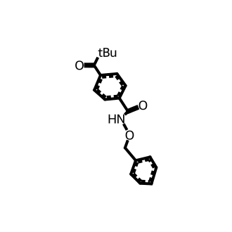 CC(C)(C)C(=O)c1ccc(C(=O)NOCc2ccccc2)cc1